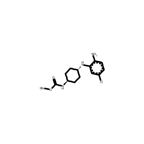 CC(C)(C)OC(=O)N[C@H]1CC[C@H](Nc2cc(Cl)ccc2[N+](=O)[O-])CC1